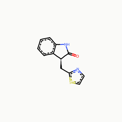 O=C1Nc2ccccc2[C@@H]1Cc1nccs1